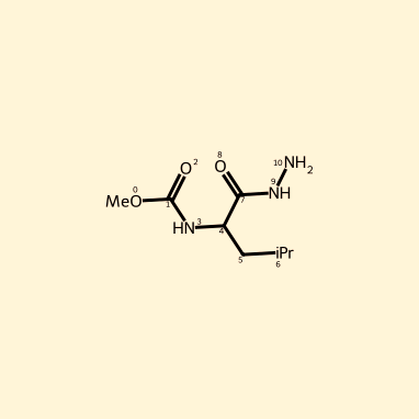 COC(=O)NC(CC(C)C)C(=O)NN